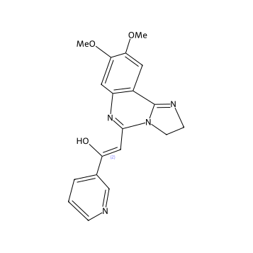 COc1cc2c(cc1OC)C1=NCCN1C(/C=C(\O)c1cccnc1)=N2